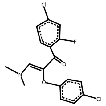 CN(C)C=C(Oc1ccc(Cl)cc1)C(=O)c1ccc(Cl)cc1F